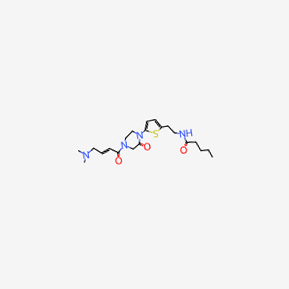 CCCCC(=O)NCCc1ccc(N2CCN(C(=O)C=CCN(C)C)CC2=O)s1